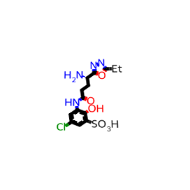 CCc1nnc([C@@H](N)CCC(=O)Nc2cc(Cl)cc(S(=O)(=O)O)c2O)o1